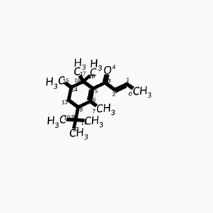 C/C=C/C(=O)C1=C(C)C(C(C)(C)C)CC(C)C1(C)C